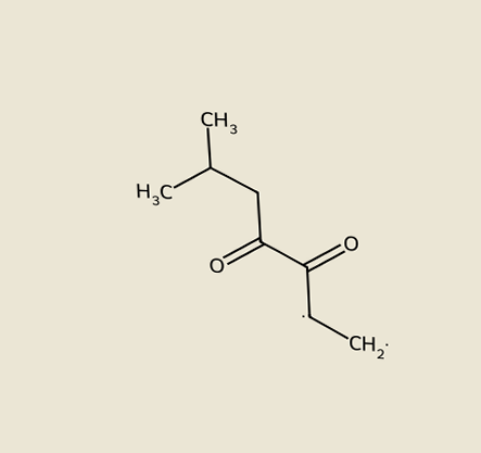 [CH2][CH]C(=O)C(=O)CC(C)C